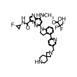 CNc1cc(N2CCc3c(-c4ccc(CN5CC6(CCNCC6)C5)cn4)cccc32)nn2c(C(=O)N[C@@H]3C[C@@H]3F)cnc12.O=C(O)C(F)(F)F